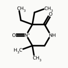 CCC1(CC)C(=O)NCC(C)(C)[N+]1=O